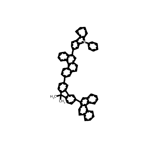 CC1(C)c2ccc(-c3ccc4c(ccc5cc(-c6ccc7c8ccccc8n(-c8ccccc8)c7c6)c6ccccc6c54)c3)cc2-c2cc(-c3cc4ccccc4c4c3ccc3ccccc34)ccc21